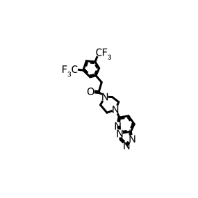 O=C(Cc1cc(C(F)(F)F)cc(C(F)(F)F)c1)N1CCN(c2ccc3nncn3n2)CC1